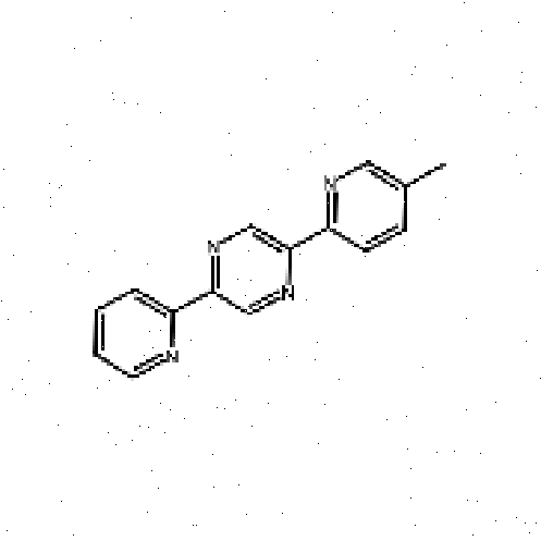 Cc1ccc(-c2cnc(-c3ccccn3)cn2)nc1